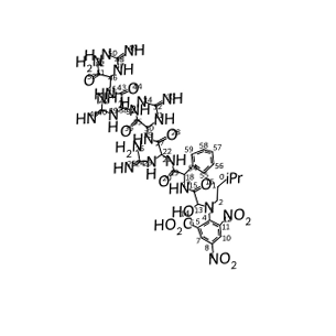 CC(C)CCN(c1c(C(=O)O)cc([N+](=O)[O-])cc1[N+](=O)[O-])C(O)C(=O)NC(C(=O)NC(NC(=N)N)C(=O)NC(NC(=N)N)C(=O)NC(NC(=N)N)C(=O)NC(NC(=N)N)C(N)=O)c1ccccc1